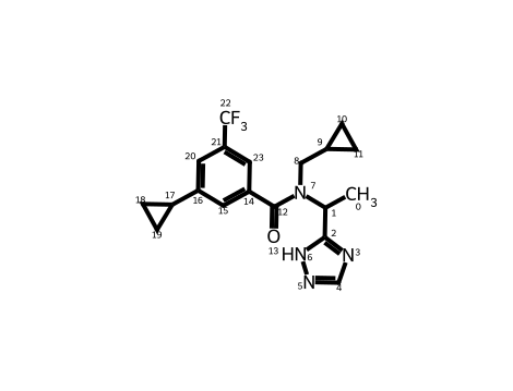 CC(c1ncn[nH]1)N(CC1CC1)C(=O)c1cc(C2CC2)cc(C(F)(F)F)c1